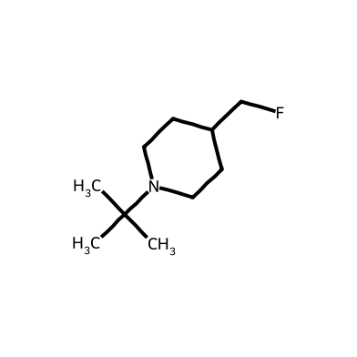 CC(C)(C)N1CCC(CF)CC1